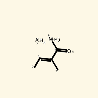 CC=C(C)C(=O)OC.[AlH3]